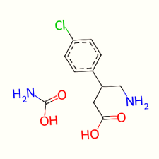 NC(=O)O.NCC(CC(=O)O)c1ccc(Cl)cc1